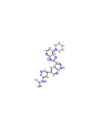 CC(C)C(=O)Nc1cncc(-c2cnc3[nH]nc(-c4nc5c(N6CCCCC6)ccnc5[nH]4)c3c2)c1